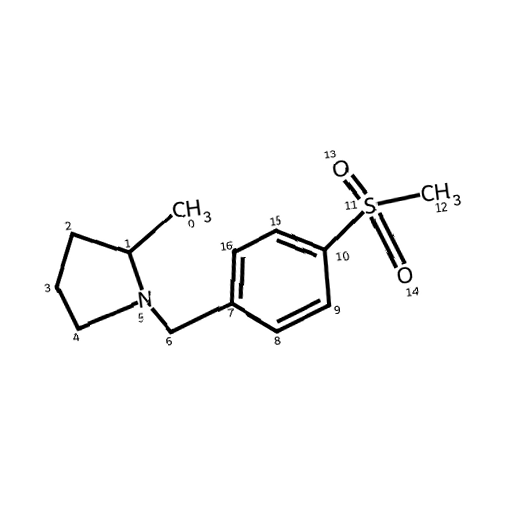 CC1CCCN1Cc1ccc(S(C)(=O)=O)cc1